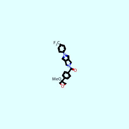 COC1(c2ccc(C(=O)N3Cc4cn(-c5ccc(C(F)(F)F)cc5)cc4C3)cc2)COC1